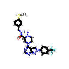 CSc1ccc(CNC(=O)C2CN(c3ncnc4nn(-c5ccc(C(F)(F)F)cc5)cc34)CCN2)cc1